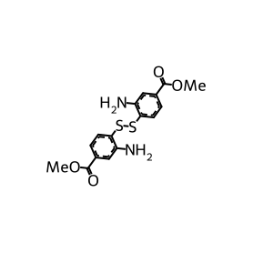 COC(=O)c1ccc(SSc2ccc(C(=O)OC)cc2N)c(N)c1